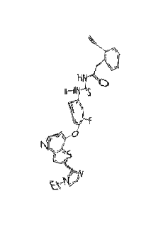 C#Cc1ccccc1CC(=O)NC(=S)Nc1ccc(Oc2ccnc3cc(-c4nccn4CC)sc23)c(F)c1